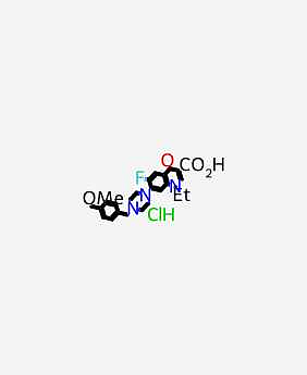 CCn1cc(C(=O)O)c(=O)c2cc(F)c(N3CCN(Cc4ccc(COC)cc4)CC3)cc21.Cl